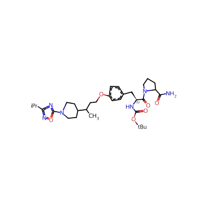 CC(C)c1noc(N2CCC(C(C)CCOc3ccc(C[C@H](NC(=O)OC(C)(C)C)C(=O)N4CCCC4C(N)=O)cc3)CC2)n1